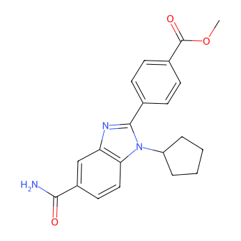 COC(=O)c1ccc(-c2nc3cc(C(N)=O)ccc3n2C2CCCC2)cc1